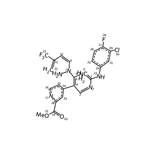 C=C(/N=C\C(=C(/N)N(N)/C=C\C(=C)C(F)(F)F)c1ccnc(C(=O)OC)c1)Nc1ccc(F)c(Cl)c1